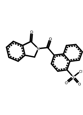 O=C1c2ccccc2CN1C(=O)c1ccc(S(=O)(=O)Cl)c2ccccc12